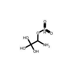 NC(O[SH](=O)=O)C(O)(O)O